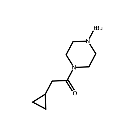 CC(C)(C)N1CCN(C(=O)CC2CC2)CC1